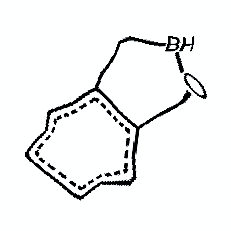 B1Cc2ccccc2O1